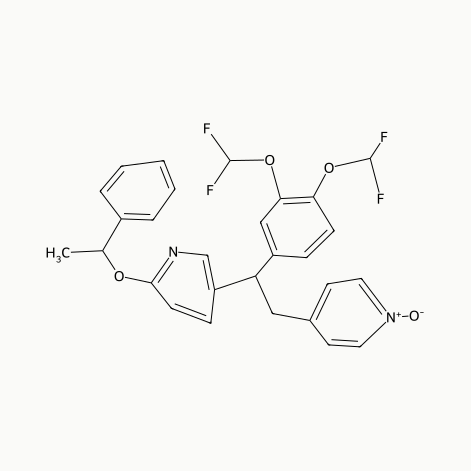 CC(Oc1ccc(C(Cc2cc[n+]([O-])cc2)c2ccc(OC(F)F)c(OC(F)F)c2)cn1)c1ccccc1